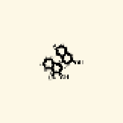 Oc1[c]c2ccccc2cc1.[AlH3].[Li][c]1c(O)ccc2ccccc12